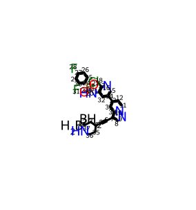 BC1(B)CC(C#Cc2cnn3ccc(-c4cnc(Cl)c(NS(=O)(=O)c5ccc(F)cc5F)c4)cc23)CCN1